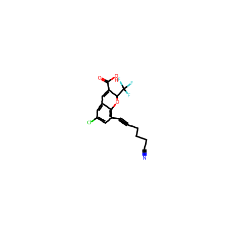 N#CCCCC#Cc1cc(Cl)cc2c1OC(C(F)(F)F)C(C(=O)O)=C2